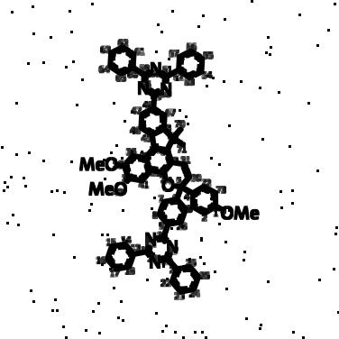 COc1ccc(C2(c3ccc(-c4nc(-c5ccccc5)nc(-c5ccccc5)n4)cc3)C=Cc3c4c(c5cc(OC)c(OC)cc5c3O2)-c2ccc(-c3nc(-c5ccccc5)nc(-c5ccccc5)n3)cc2C4(C)C)cc1